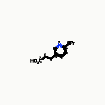 CC(C)c1ccc(CCC(=O)O)cn1